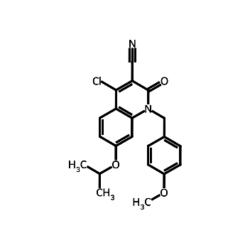 COc1ccc(Cn2c(=O)c(C#N)c(Cl)c3ccc(OC(C)C)cc32)cc1